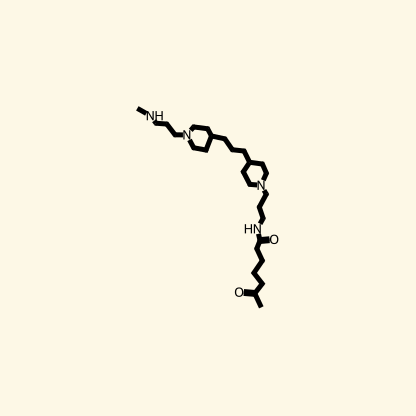 CNCCCN1CCC(CCCC2CCN(CCCNC(=O)CCCCC(C)=O)CC2)CC1